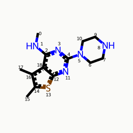 CNc1nc(N2CCNCC2)nc2sc(C)c(C)c12